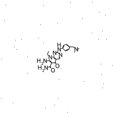 CCn1c(N)c(C(N)=O)c(=O)c2cnc(Nc3ccc(CN(C)C)cc3)nc21